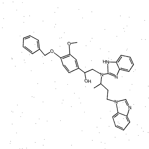 COc1cc(C(O)CN(c2nc3ccccc3[nH]2)C(C)CCn2cnc3ccccc32)ccc1OCc1ccccc1